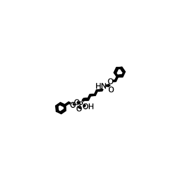 O=C(NCCCCC=CP(=O)(O)OOCc1ccccc1)OCc1ccccc1